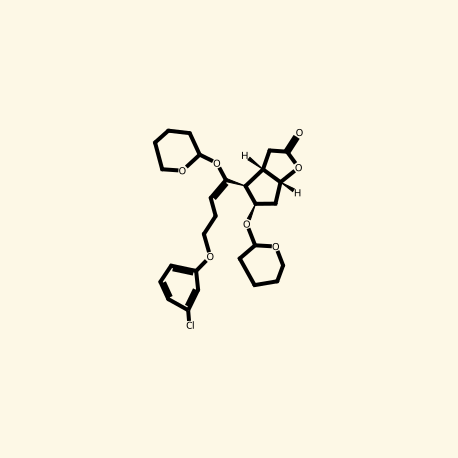 O=C1C[C@H]2[C@H](/C(=C\CCOc3cccc(Cl)c3)OC3CCCCO3)[C@H](OC3CCCCO3)C[C@H]2O1